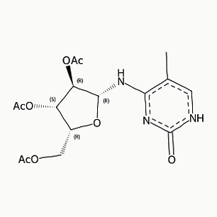 CC(=O)OC[C@H]1O[C@@H](Nc2nc(=O)[nH]cc2C)[C@H](OC(C)=O)[C@H]1OC(C)=O